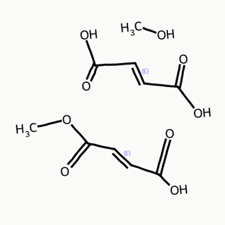 CO.COC(=O)/C=C/C(=O)O.O=C(O)/C=C/C(=O)O